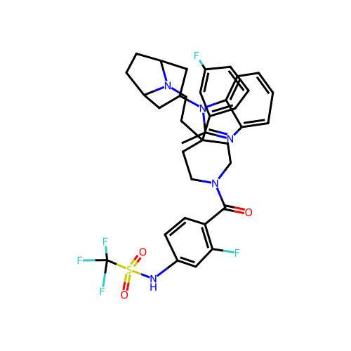 Cc1nc2ccccc2n1C1CC2CCC(C1)N2CCC1(c2cccc(F)c2)CCN(C(=O)c2ccc(NS(=O)(=O)C(F)(F)F)cc2F)CC1